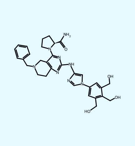 NC(=O)[C@@H]1CCCN1c1nc(Nc2cn(-c3cc(CO)c(CO)c(CO)c3)cn2)nc2c1CN(Cc1ccccc1)CC2